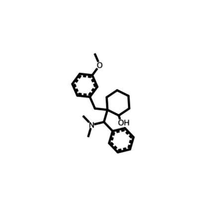 COc1cccc(CC2(C(c3ccccc3)N(C)C)CCCCC2O)c1